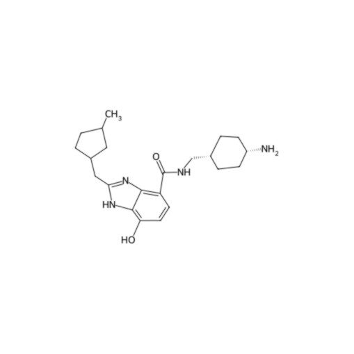 CC1CCC(Cc2nc3c(C(=O)NC[C@H]4CC[C@@H](N)CC4)ccc(O)c3[nH]2)C1